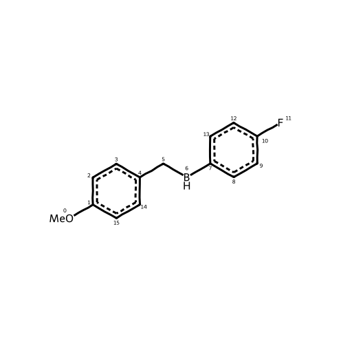 COc1ccc(CBc2ccc(F)cc2)cc1